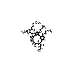 CCCCCCCCCCCCCC(=O)N1CC(N)CC1C(=O)N(C)C1C(=O)NC(C)C(=O)NC(C(=O)NCC#N)Cc2ccc(OCCN)c(c2)-c2cc1ccc2OCCN